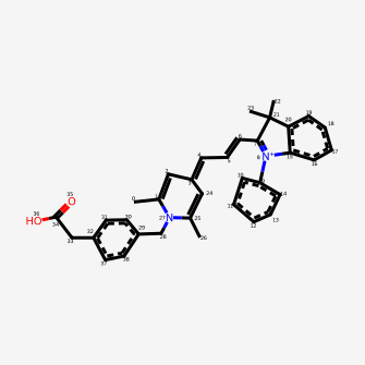 CC1=CC(=C/C=C/C2=[N+](c3ccccc3)c3ccccc3C2(C)C)C=C(C)N1Cc1ccc(CC(=O)O)cc1